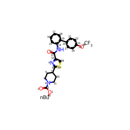 CCCCOC(=O)N1CCC(c2nc(C(=O)Nc3ccccc3-c3ccc(OC(F)(F)F)cc3)cs2)CC1